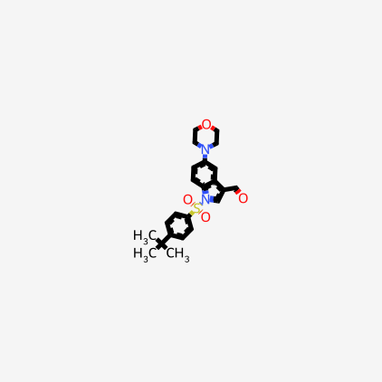 CC(C)(C)c1ccc(S(=O)(=O)n2cc(C=O)c3cc(N4CCOCC4)ccc32)cc1